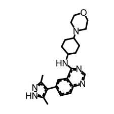 Cc1n[nH]c(C)c1-c1ccc2ncnc(NC3CCC(N4CCOCC4)CC3)c2c1